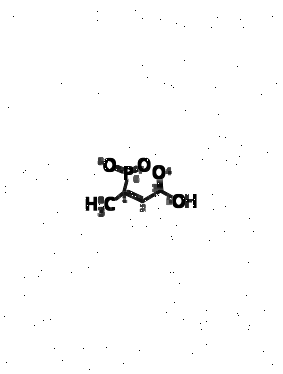 CC(=CC(=O)O)P(=O)=O